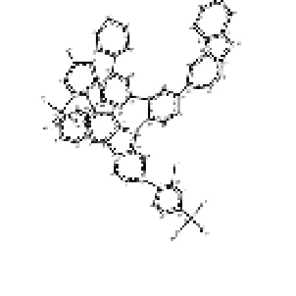 Cc1ccc(-c2ccc3c4ccc(-c5ccc(C(F)(F)F)cc5C)cc4n(-c4ccc(-c5ccc6oc7ccccc7c6c5)cc4-c4nc(-c5ccccc5)nc(-c5ccccc5)n4)c3c2)c(C(F)(F)F)c1